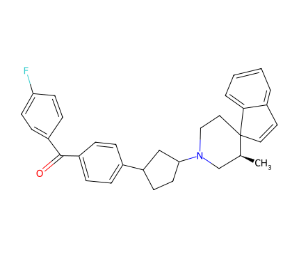 C[C@H]1CN(C2CCC(c3ccc(C(=O)c4ccc(F)cc4)cc3)C2)CCC12C=Cc1ccccc12